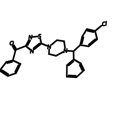 O=C(c1ccccc1)c1nsc(N2CCN(C(c3ccccc3)c3ccc(Cl)cc3)CC2)n1